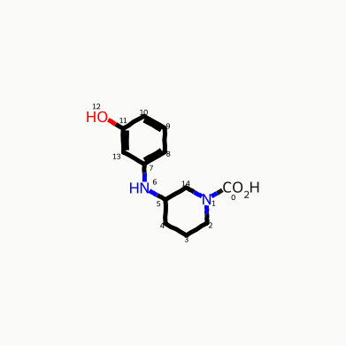 O=C(O)N1CCCC(Nc2cccc(O)c2)C1